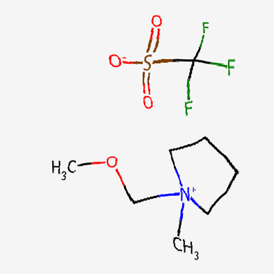 COC[N+]1(C)CCCC1.O=S(=O)([O-])C(F)(F)F